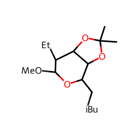 CCC(C)CC1OC(OC)C(CC)C2OC(C)(C)OC12